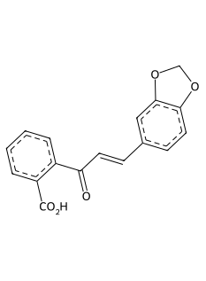 O=C(O)c1ccccc1C(=O)C=Cc1ccc2c(c1)OCO2